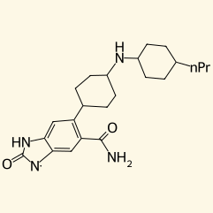 CCCC1CCC(NC2CCC(c3cc4c(cc3C(N)=O)[N]C(=O)N4)CC2)CC1